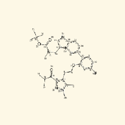 Cc1c(CCOc2cc(F)ccc2-c2ccc3ncc(CN(C)C(=O)OC(C)(C)C)n3c2)c(C(=O)C(C)C)nn1C